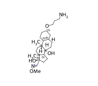 CO/N=C/[C@@]1(O)CC[C@]2(O)[C@@H]3CC[C@@H]4C[C@@H](OCCCN)CC[C@]4(C)[C@H]3CC[C@]12C